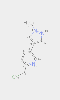 Cn1cc(-c2ccc(CCl)nc2)cn1